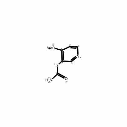 COc1ccncc1SC(N)=O